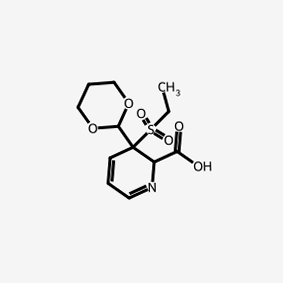 CCS(=O)(=O)C1(C2OCCCO2)C=CC=NC1C(=O)O